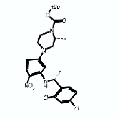 C[C@@H]1CN(c2ccc([N+](=O)[O-])c(N[C@H](C)c3ccc(Cl)cc3Cl)c2)CCN1C(=O)OC(C)(C)C